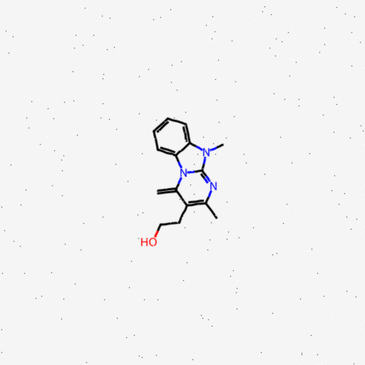 C=C1C(CCO)=C(C)N=C2N(C)c3ccccc3N12